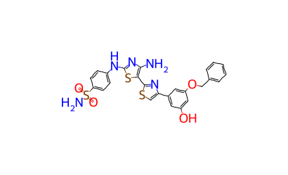 Nc1nc(Nc2ccc(S(N)(=O)=O)cc2)sc1-c1nc(-c2cc(O)cc(OCc3ccccc3)c2)cs1